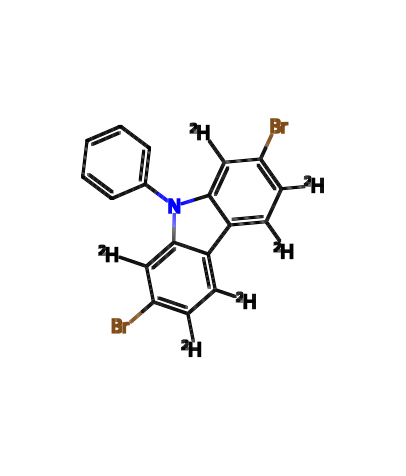 [2H]c1c(Br)c([2H])c2c(c1[2H])c1c([2H])c([2H])c(Br)c([2H])c1n2-c1ccccc1